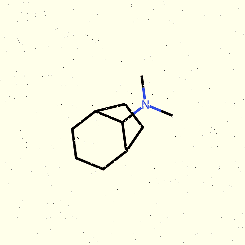 CN(C)C1C2CCCC1CC2